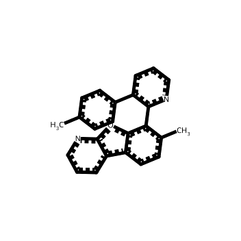 Cc1ccc(-c2cccnc2-c2c(C)ccc3c2oc2ncccc23)cc1